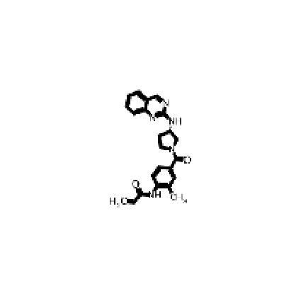 C=CC(=O)Nc1ccc(C(=O)N2CC[C@H](Nc3ncc4ccccc4n3)C2)cc1C